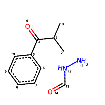 CC(C)C(=O)c1ccccc1.NNC=O